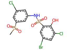 CS(=O)(=O)c1cc(Cl)cc(NS(=O)(=O)c2cc(Br)cc(Cl)c2O)c1